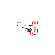 CC1(C)O[C@H]2O[C@H]3[C@H](C(C(=O)OCc4ccccc4)C[C@H]3O)[C@H]2O1